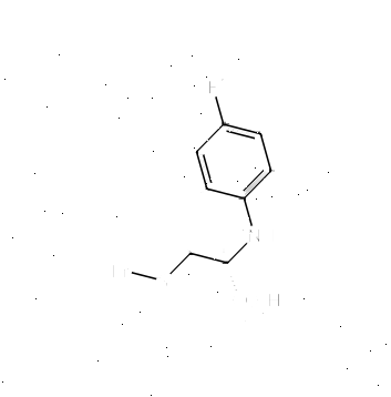 CC(C)SC[C@H](Nc1ccc(F)cc1)C(=O)O